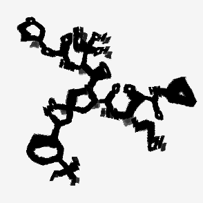 CCC[C@H](NC(=O)[C@@H]1C[C@]2(CC(c3cccc(C(F)(F)F)c3)=NO2)CN1C(=O)[C@@H](NC(=O)O[C@H]1CCOC1)C(C)(C)C)C(=O)C(=O)NC1CC1